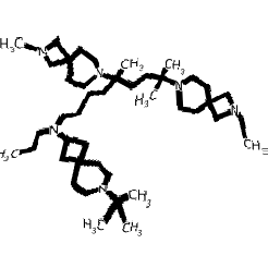 CCCN(CCCCC(C)(CCC(C)(C)N1CCC2(CC1)CN(CC)C2)N1CCC2(CC1)CN(C)C2)C1CC2(CCN(C(C)(C)C)CC2)C1